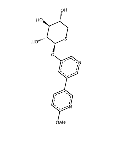 COc1ccc(-c2cncc(O[C@@H]3SC[C@@H](O)[C@H](O)[C@H]3O)c2)cn1